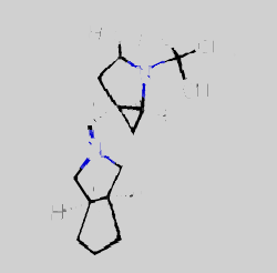 CC1C[C@]2(CN3C[C@H]4CCC[C@H]4C3)C[C@@H]2N1C(C)(C)C